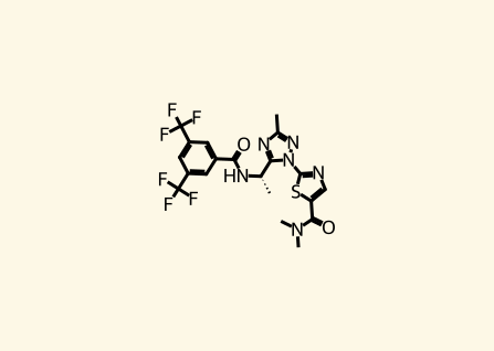 Cc1nc([C@H](C)NC(=O)c2cc(C(F)(F)F)cc(C(F)(F)F)c2)n(-c2ncc(C(=O)N(C)C)s2)n1